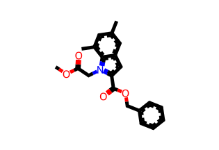 COC(=O)Cn1c(C(=O)OCc2ccccc2)cc2cc(C)cc(C)c21